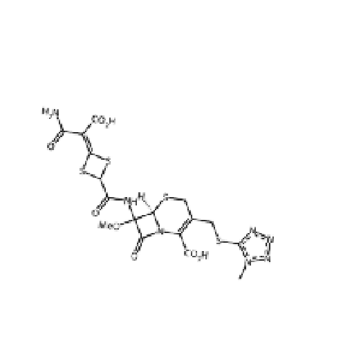 COC1(NC(=O)C2SC(=C(C(N)=O)C(=O)O)S2)C(=O)N2C(C(=O)O)=C(CSc3nnnn3C)CS[C@@H]21